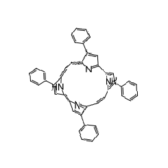 C1=C(c2ccccc2)c2ccc3[nH]c(cc3-c3ccccc3)c3nc(ccc4[nH]c(cc4-c4ccccc4)c1n2)C(c1ccccc1)=C3